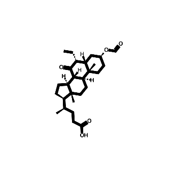 CC[C@H]1C(=O)[C@@H]2[C@H](CC[C@]3(C)[C@@H]([C@H](C)CCC(=O)O)CC[C@@H]23)[C@@]2(C)CC[C@@H](OC=O)C[C@@H]12